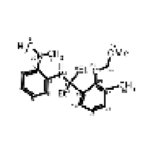 CCC(CC)(Pc1ccccc1N(C)C)c1cccc(C)c1OCOC